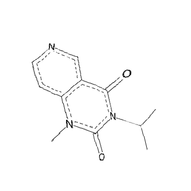 CC(C)n1c(=O)c2cnccc2n(C)c1=O